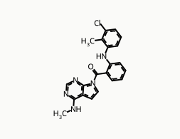 CNc1ncnc2c1ccn2C(=O)c1ccccc1Nc1cccc(Cl)c1C